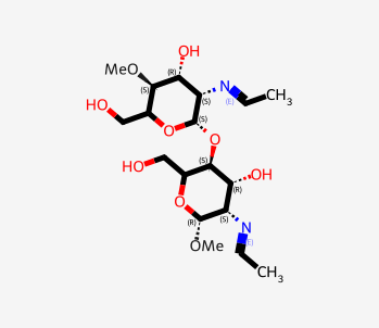 C/C=N/[C@@H]1[C@H](O[C@@H]2C(CO)O[C@@H](OC)[C@@H](/N=C/C)[C@H]2O)OC(CO)[C@@H](OC)[C@@H]1O